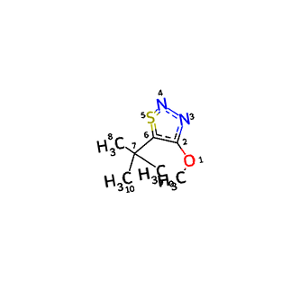 COc1nnsc1C(C)(C)C